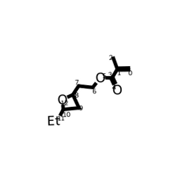 C=C(C)C(=O)OCCC1CC(CC)O1